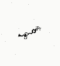 CC(C)c1ccc(C=CCOC(=O)CCC2CC2)cc1